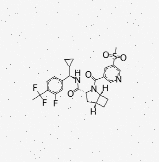 CC(F)(F)c1ccc([C@H](NC(=O)[C@H]2C[C@H]3CC[C@H]3N2C(=O)c2cncc(S(C)(=O)=O)c2)C2CC2)cc1F